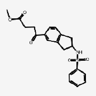 COC(=O)CCC(=O)c1ccc2c(c1)CC(NS(=O)(=O)c1ccccc1)C2